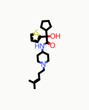 CC(C)=CCCN1CCC(NC(=O)C(O)(c2cccs2)C2CCCC2)CC1